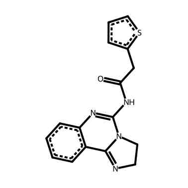 O=C(Cc1cccs1)NC1=Nc2ccccc2C2=NCCN12